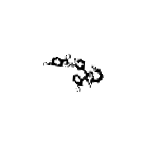 O=C(Nc1cc(-c2c(-c3cccc(Cl)c3)nc3cccnn23)ccn1)c1ccc(F)cc1